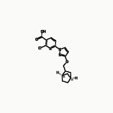 O=C(O)c1ccc(-n2ccc(OCC3C[C@H]4CC[C@@H]3C4)n2)nc1Cl